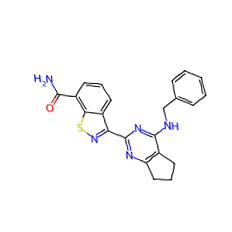 NC(=O)c1cccc2c(-c3nc4c(c(NCc5ccccc5)n3)CCC4)nsc12